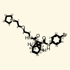 O=C(NCCOCCN1CCCC1)[C@H]1[C@H](C(=O)Nc2ccc(Br)cc2)[C@@H]2C=C[C@H]1C21CC1